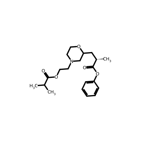 CC(C)C(=O)OCCN1CCOC(C[C@H](C)C(=O)Oc2ccccc2)C1